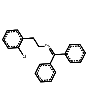 Clc1ccccc1CC[15N]=C(c1ccccc1)c1ccccc1